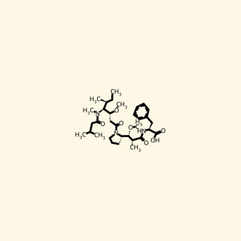 CC[C@H](C)[C@@H]([C@@H](CC(=O)N1CCC[C@H]1[C@H](OC)[C@@H](C)C(=O)N[C@@H](Cc1ccccc1)C(=O)O)OC)N(C)C(=O)CC(C)C